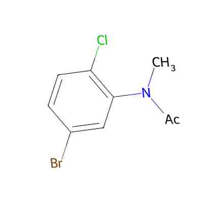 CC(=O)N(C)c1cc(Br)ccc1Cl